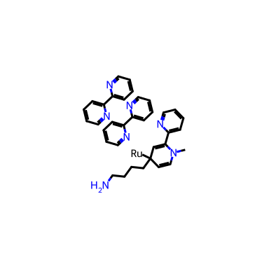 CN1C=C[C]([Ru])(CCCCN)C=C1c1ccccn1.c1ccc(-c2ccccn2)nc1.c1ccc(-c2ccccn2)nc1